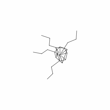 CCC[C]12[CH]3[CH]4[CH]5[CH]1[Fe]45321678[CH]2[CH]1[C]6(CCC)[C]7(CCC)[C]28CCC